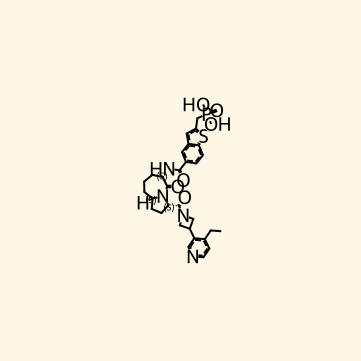 CCc1ccncc1C1CN(C(=O)[C@@H]2CC[C@@H]3CCC[C@H](NC(=O)c4ccc5sc(CP(=O)(O)O)cc5c4)C(=O)N32)C1